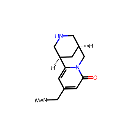 CNCc1cc2n(c(=O)c1)C[C@@H]1CNC[C@H]2C1